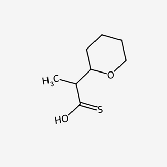 CC(C(O)=S)C1CCCCO1